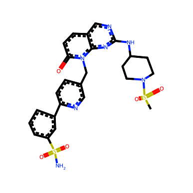 CS(=O)(=O)N1CCC(Nc2ncc3ccc(=O)n(Cc4ccc(-c5cccc(S(N)(=O)=O)c5)nc4)c3n2)CC1